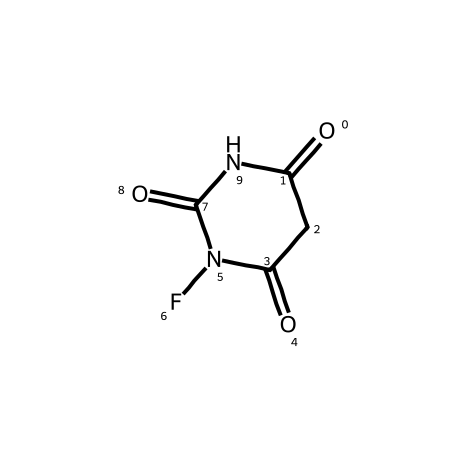 O=C1CC(=O)N(F)C(=O)N1